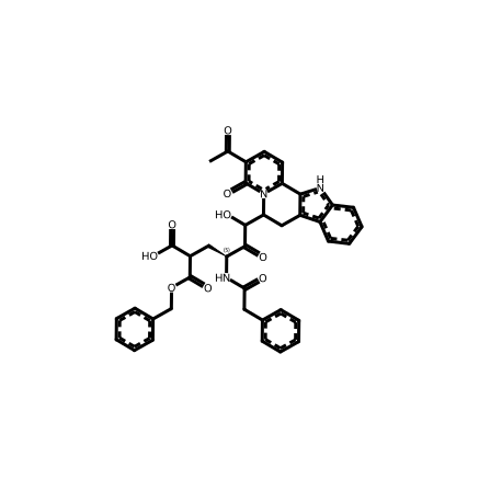 CC(=O)c1ccc2n(c1=O)C(C(O)C(=O)[C@H](CC(C(=O)O)C(=O)OCc1ccccc1)NC(=O)Cc1ccccc1)Cc1c-2[nH]c2ccccc12